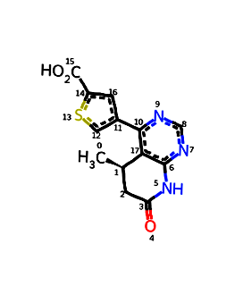 C[C@@H]1CC(=O)Nc2ncnc(-c3csc(C(=O)O)c3)c21